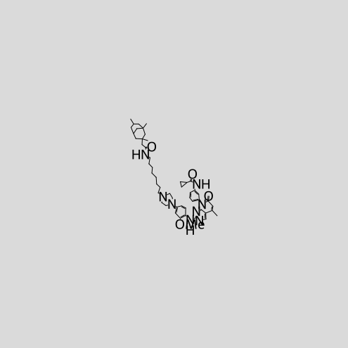 COc1cc(N2CCN(CCCCCCCCNC(=O)CC3(C)CC4CC(C)CC(C)(C4)C3)CC2)ccc1Nc1ncc2c(C)cc(=O)n(-c3cccc(NC(=O)C4CC4)c3)c2n1